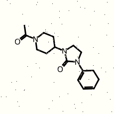 CC(=O)N1CCC(N2CCN(C3=CC=CCC3)C2=O)CC1